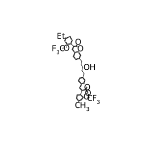 CCc1ccc(-c2cc3ccc(CCC(O)CCc4ccc5cc(-c6ccc(C)cc6OC(F)(F)F)c(=O)oc5c4)cc3oc2=O)c(OC(F)(F)F)c1